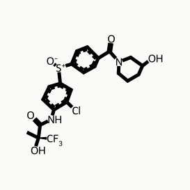 C[C@@](O)(C(=O)Nc1ccc([S+]([O-])c2ccc(C(=O)N3CCCC(O)C3)cc2)cc1Cl)C(F)(F)F